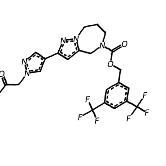 O=C(O)Cn1cc(-c2cc3n(n2)CCCN(C(=O)OCc2cc(C(F)(F)F)cc(C(F)(F)F)c2)C3)cn1